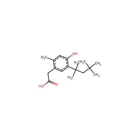 Cc1cc(O)c(C(C)(C)CC(C)(C)C)cc1CC(=O)O